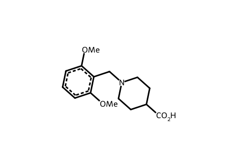 COc1cccc(OC)c1CN1CCC(C(=O)O)CC1